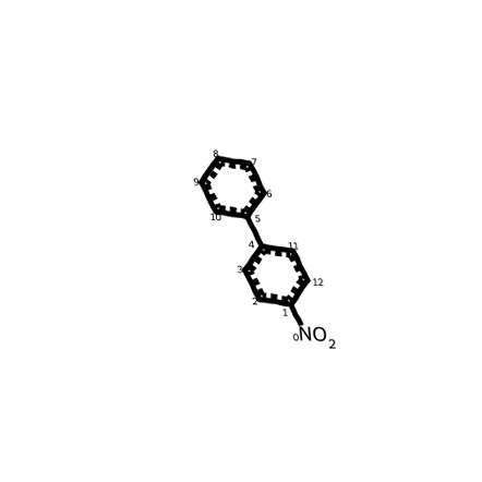 O=[N+]([O-])c1c[c]c(-c2ccccc2)cc1